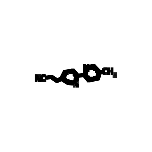 Cc1ccc(-c2ccc(CCC#N)cn2)nc1